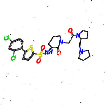 O=C1[C@@H](NS(=O)(=O)c2ccc(-c3ccc(Cl)cc3Cl)s2)CCCN1CC(=O)N1CCC[C@H]1CN1CCCC1